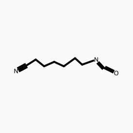 N#CCCCCCCN=C=O